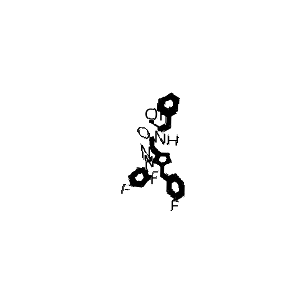 O=C(N[C@@H](CO)Cc1ccccc1)c1nn(-c2ccc(F)cc2F)c2c1CCC2Cc1cccc(F)c1